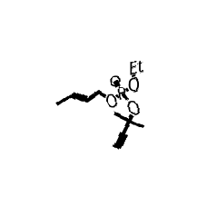 C#CC(C)(C)OP(=O)(OCC)OCC=CC